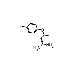 [CH2]c1ccc(OC(C)N=C(N)N)cc1